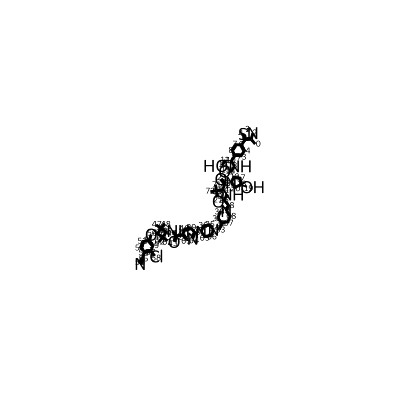 Cc1ncsc1-c1ccc([C@H](CO)NC(=O)[C@@H]2C[C@@H](O)CN2C(=O)[C@@H](NC(=O)CN2CCC(CN3CCN(c4ccc(C(=O)N[C@H]5C(C)(C)[C@H](Oc6ccc(C#N)c(Cl)c6)C5(C)C)cn4)CC3)CC2)C(C)(C)C)cc1